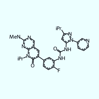 CNc1ncc2cc(-c3ccc(F)c(NC(=O)Nc4cc(C(C)C)nn4-c4cccnc4)c3)c(=O)n(C(C)C)c2n1